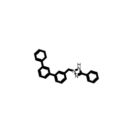 C1=CCCC(c2cccc(-c3cccc(Cn4nc(-c5ccccc5)[nH]4)c3)c2)=C1